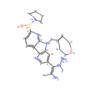 C/C(N)=C(\c1cnc2c3ccc([S+]([O-])N4CCCC4)nc3n(CC3CCOCC3)c2c1)N(C)N